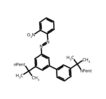 CCCCCC(C)(C)c1cccc(-c2cc(N=Nc3ccccc3[N+](=O)[O-])cc(C(C)(C)CCCCC)c2)c1